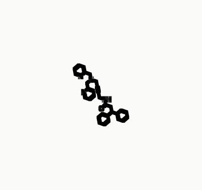 O=C(CC(c1ccccc1)c1ccccc1)NCC#CCN(Cc1ccccn1)Cc1ccccn1